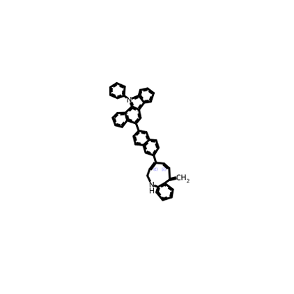 C=C1/C=C\C(c2ccc3cc(-c4cc5c6ccccc6n(-c6ccccc6)c5c5ccccc45)ccc3c2)=C/CNc2ccccc21